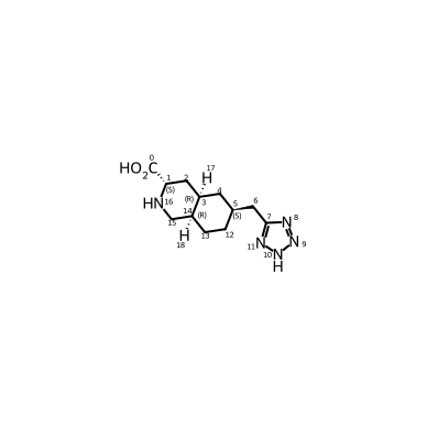 O=C(O)[C@@H]1C[C@H]2C[C@@H](Cc3nn[nH]n3)CC[C@H]2CN1